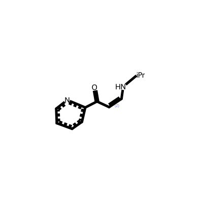 CC(C)N/C=C\C(=O)c1ccccn1